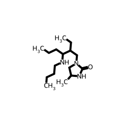 CCCCNC(CCC)C(CC)CN1CC(C)NC1=O